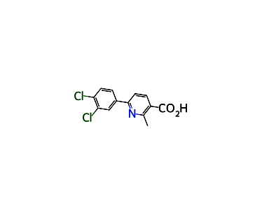 Cc1nc(-c2ccc(Cl)c(Cl)c2)ccc1C(=O)O